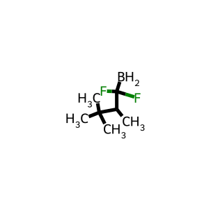 BC(F)(F)C(C)C(C)(C)C